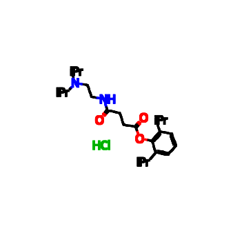 CC(C)c1cccc(C(C)C)c1OC(=O)CCC(=O)NCCN(C(C)C)C(C)C.Cl